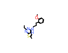 CCc1nc(NCCCc2ccccc2OC)c2cc(C)sc2n1